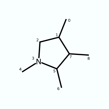 CC1CN(C)C(C)C1C